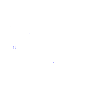 CN1Cc2c(Cl)nc(Cl)nc2C[C@]12CCCc1ccccc12